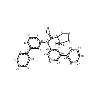 O=C(C1CCCN1)N(c1cccc(-c2ccccc2)c1)c1cccc(-c2ccccc2)c1